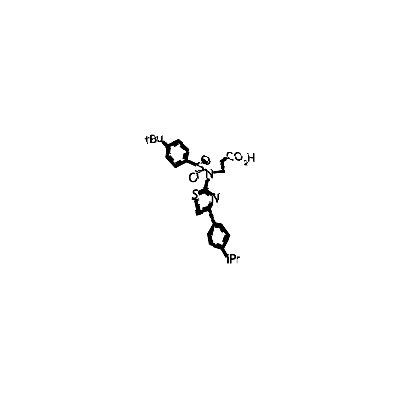 CC(C)c1ccc(-c2csc(N(CCC(=O)O)S(=O)(=O)c3ccc(C(C)(C)C)cc3)n2)cc1